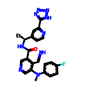 CC[C@H](NC(=O)c1cncc(N(C)c2ccc(F)cc2)c1C=N)c1ccnc(-c2nnn[nH]2)c1